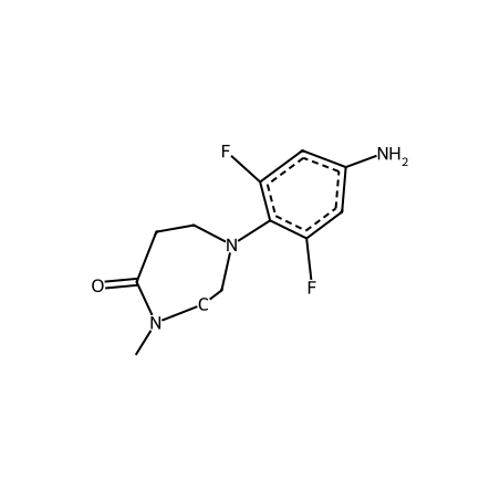 CN1CCN(c2c(F)cc(N)cc2F)CCC1=O